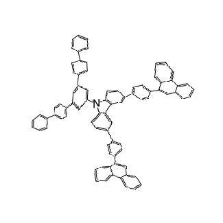 c1ccc(-c2ccc(-c3cc(-c4ccc(-c5ccccc5)cc4)cc(-n4c5ccc(-c6ccc(-c7cc8ccccc8c8ccccc78)cc6)cc5c5cc(-c6ccc(-c7cc8ccccc8c8ccccc78)cc6)ccc54)c3)cc2)cc1